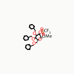 CO[C@@H]1O[C@@H](COCc2ccccc2)[C@H](OCc2ccccc2)[C@@H](OCc2ccccc2)[C@H]1OS(=O)(=O)C(F)(F)F